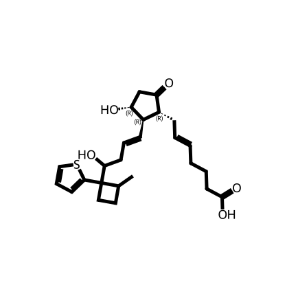 CC1CCC1(c1cccs1)C(O)CC=C[C@H]1[C@H](O)CC(=O)[C@@H]1CC=CCCCC(=O)O